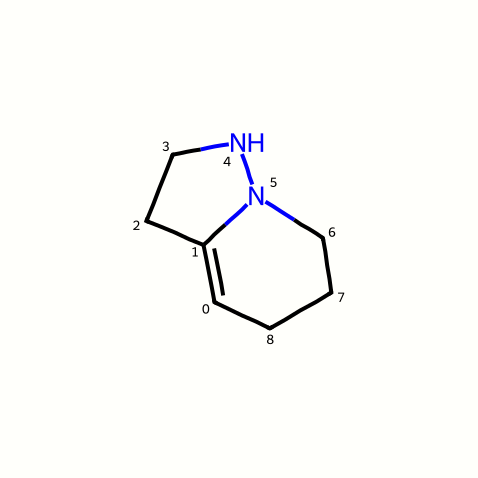 C1=C2CCNN2CCC1